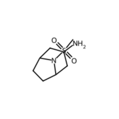 CS(=O)(=O)N1C2CCC1CC(N)C2